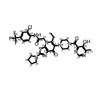 CCc1c(N2CCN(C(=O)c3ncnc(C)c3O)CC2)c(=O)c2nc(N3CCCC3)sc2n1CC(=O)Nc1ccc(C(F)(F)F)cc1Cl